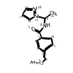 COCc1ccc(C(=O)NC(C#N)n2cccn2)cc1